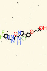 CC(C)(O)CCCOc1ccc(Cl)c(-c2ccnc(C(=N)C(=O)c3cnc(Cc4ccc(F)c(F)c4)[nH]3)c2)c1